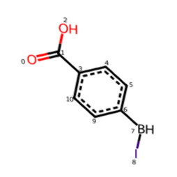 O=C(O)c1ccc(BI)cc1